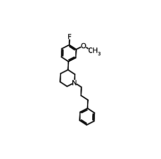 COc1cc(C2CCCN(CCCc3ccccc3)C2)ccc1F